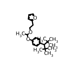 CC(OCCc1ccco1)Oc1ccc(C(C(C)(C)C)C(C)(C)C)cc1